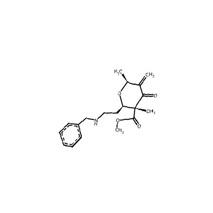 C=C1C(=O)[C@](C)(C(=O)OC)[C@@H](CCNCc2ccccc2)O[C@H]1C